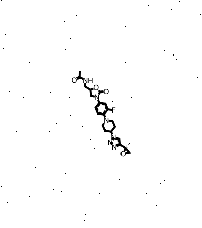 CC(=O)NCC1CN(c2ccc(N3CCC(n4cc([C@@]5(C)CO5)nn4)CC3)c(F)c2)C(=O)O1